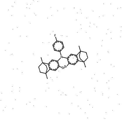 CC12CCC(C)(CC1)c1cc(N(c3ccc(F)cc3)c3cc4c(cc3Br)C3(C)CCC4(C)CC3)c(Br)cc12